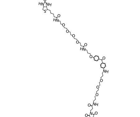 O=C(CCCCC1SCC2NC(=O)NC21)NCCOCCOCCOCCOCCC(=O)NCCCOc1ccc(C(=O)c2ccc(NCCCOCCOCCOCCCNC(=O)CCN3C(=O)C=CC3=O)cc2)cc1